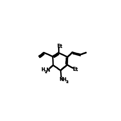 C=CC1=C(CC)C(/C=C/C)=C(CC)C(N)C1N